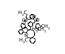 C=C/C=C(\C=C)P(=O)(c1ccccc1)c1cc(/C2=c3\ccc4ccccc4\c3=N\C(C)C3=C(/C=C\C2)CC=CC=C3)cc(P(=O)(C(/C=C\C)=C/C(C)C)c2ccccc2)c1